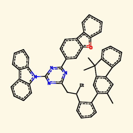 CCC(Cc1nc(-c2ccc3c(c2)oc2ccccc23)nc(-n2c3ccccc3c3ccccc32)n1)c1ccccc1-c1cc2c(cc1C)-c1ccccc1C2(C)C